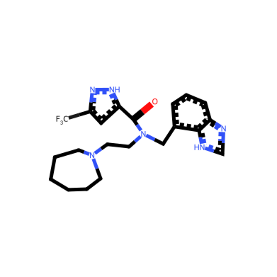 O=C(c1cc(C(F)(F)F)n[nH]1)N(CCN1CCCCCC1)Cc1cccc2nc[nH]c12